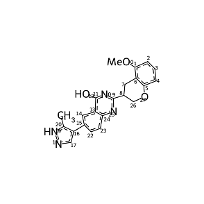 COc1cccc2c1CC(c1nc(O)c3cc(-c4cn[nH]c4C)ccc3n1)CO2